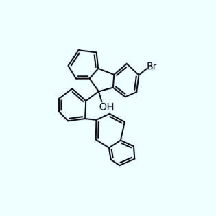 OC1(c2ccccc2-c2ccc3ccccc3c2)c2ccccc2-c2cc(Br)ccc21